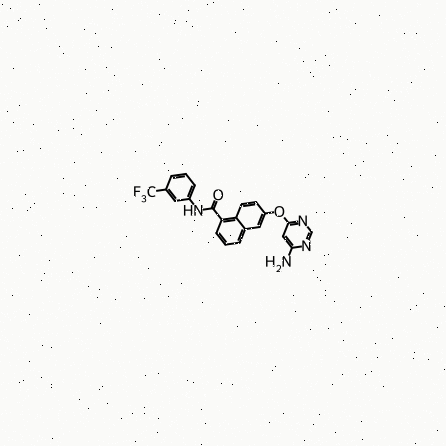 Nc1cc(Oc2ccc3c(C(=O)Nc4cccc(C(F)(F)F)c4)cccc3c2)ncn1